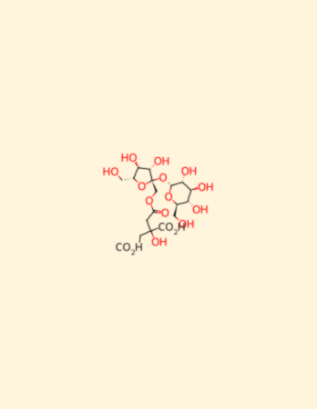 O=C(O)CC(O)(CC(=O)OC[C@@]1(O[C@H]2O[C@H](CO)[C@@H](O)[C@H](O)[C@H]2O)O[C@H](CO)[C@@H](O)[C@@H]1O)C(=O)O